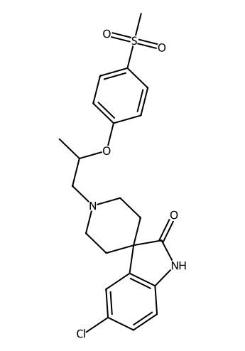 CC(CN1CCC2(CC1)C(=O)Nc1ccc(Cl)cc12)Oc1ccc(S(C)(=O)=O)cc1